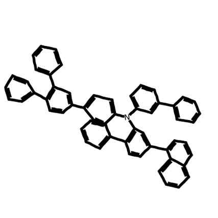 c1ccc(-c2cccc(N(c3ccc(-c4ccc(-c5ccccc5)c(-c5ccccc5)c4)cc3)c3cc(-c4cccc5ccccc45)ccc3-c3ccccc3)c2)cc1